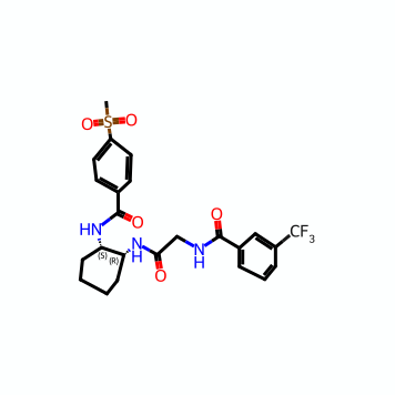 CS(=O)(=O)c1ccc(C(=O)N[C@H]2CCCC[C@H]2NC(=O)CNC(=O)c2cccc(C(F)(F)F)c2)cc1